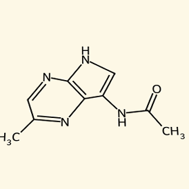 CC(=O)Nc1c[nH]c2ncc(C)nc12